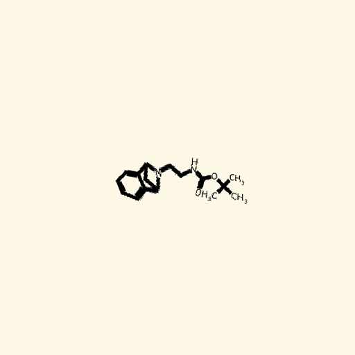 CC(C)(C)OC(=O)NCCN1C2CC1c1ccccc12